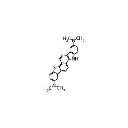 CN(C)c1ccc2[nH]c3c(ccc4c3ccc3c5cc(N(C)C)ccc5sc34)c2c1